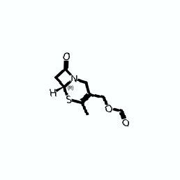 CC1=C(COC=O)CN2C(=O)C[C@H]2S1